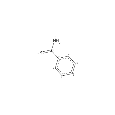 NC(=S)c1cc[c]cc1